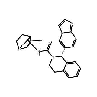 O=C(N[C@@H]1CN2CCC1CC2)N1CCc2ccccc2[C@H]1c1cnc2nccn2c1